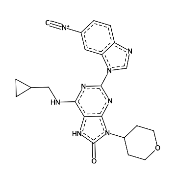 [C-]#[N+]c1ccc2ncn(-c3nc(NCC4CC4)c4[nH]c(=O)n(C5CCOCC5)c4n3)c2c1